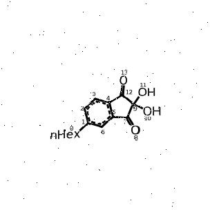 CCCCCCc1ccc2c(c1)C(=O)C(O)(O)C2=O